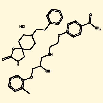 Cc1ccccc1OCC(O)CNCCOc1ccc(C(N)=O)cc1.Cl.O=C1NCC2(CCN(CCc3ccccc3)CC2)O1